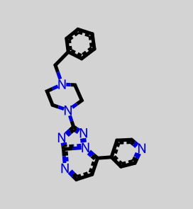 c1ccc(CN2CCN(c3nc4nccc(-c5ccncc5)n4n3)CC2)cc1